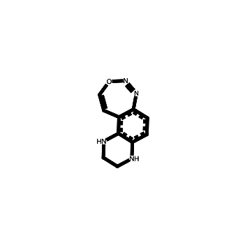 C1=Cc2c(ccc3c2NCCN3)N=NO1